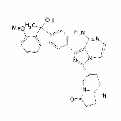 COc1ccccc1C(C)(O)c1ccc(-c2nc([C@@H]3CC[C@H]4CCC(=O)N4C3)n3ccnc(N)c23)cc1